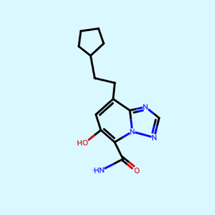 [NH]C(=O)c1c(O)cc(CCC2CCCC2)c2ncnn12